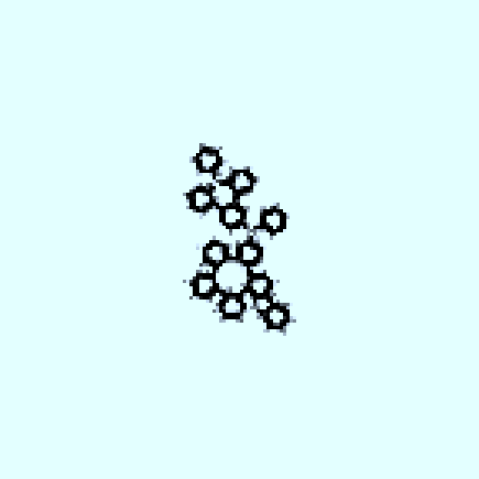 c1ccc(N(c2ccc3c(c2)-c2ccccc2N(c2ccccc2)c2ccccc2-3)c2ccc3c(c2)c2ccccc2c2ccccc2c2ccccc2c2c3ccc3c4ccccc4sc32)cc1